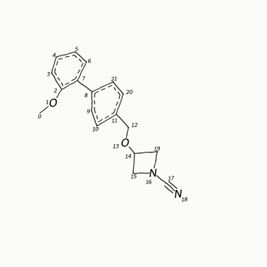 COc1ccccc1-c1ccc(COC2CN(C#N)C2)cc1